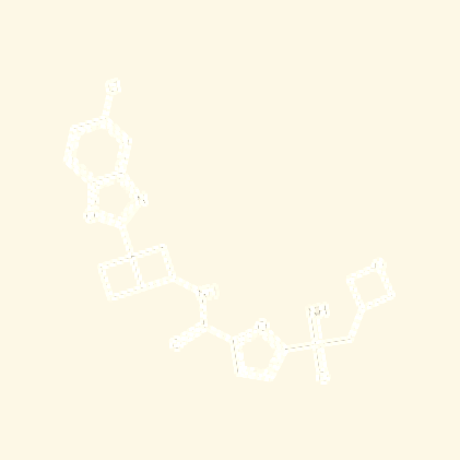 N=S(=O)(CC1COC1)c1ccc(C(=O)NC2CC3(c4nc5cc(Cl)ccc5o4)CCC23)o1